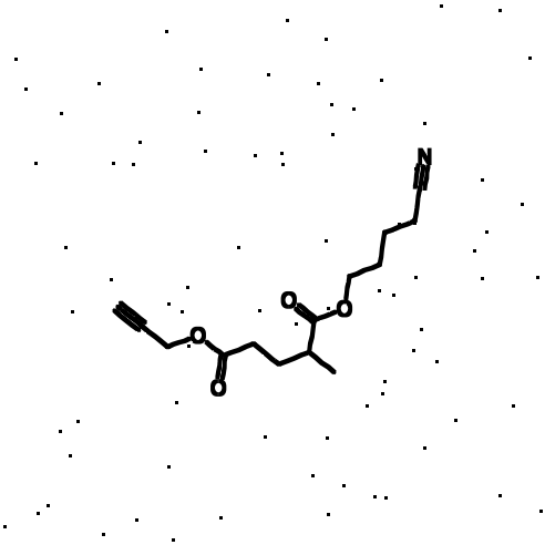 C#CCOC(=O)CCC(C)C(=O)OCCCCC#N